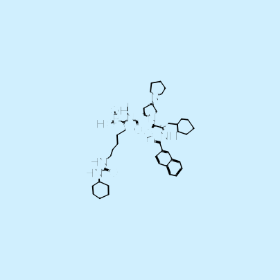 O=C(NCCCCC[C@H](NC(=O)[C@@H]1C[C@@H](N2CCCCC2)CN1C(=O)[C@@H](CC1CCCCC1)NC(=O)c1ccc2ccccc2c1)B(O)O)NC1CCCCC1